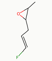 CC1OC1CC=CF